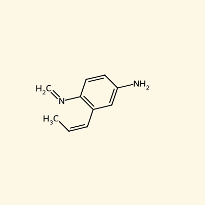 C=Nc1ccc(N)cc1/C=C\C